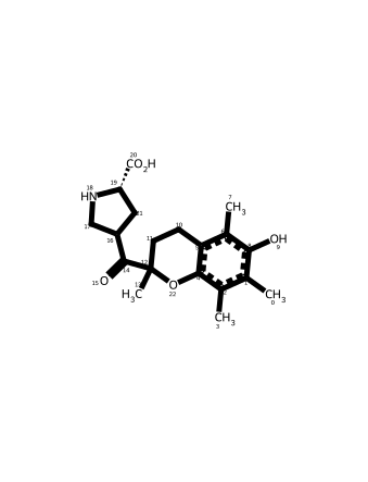 Cc1c(C)c2c(c(C)c1O)CCC(C)(C(=O)C1CN[C@H](C(=O)O)C1)O2